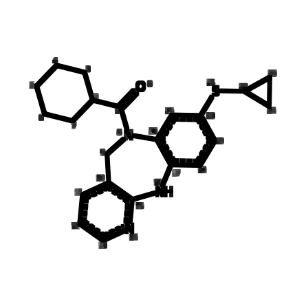 O=C(C1CCCCC1)N1Cc2cccnc2Nc2ccc(SC3CC3)cc21